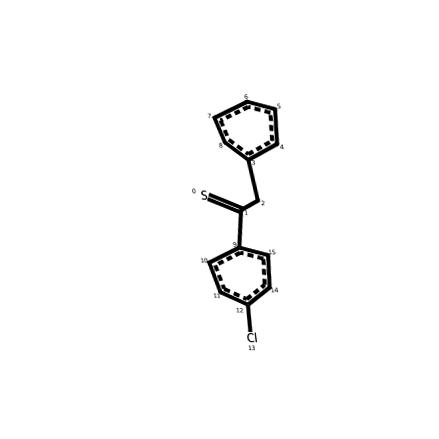 S=C(Cc1ccccc1)c1ccc(Cl)cc1